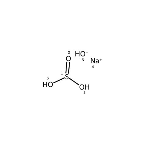 O=S(O)O.[Na+].[OH-]